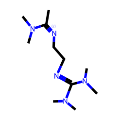 C/C(=N/CCN=C(N(C)C)N(C)C)N(C)C